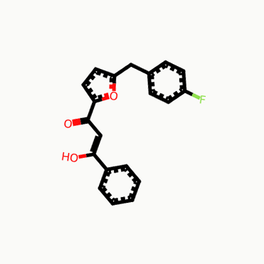 O=C(C=C(O)c1ccccc1)c1ccc(Cc2ccc(F)cc2)o1